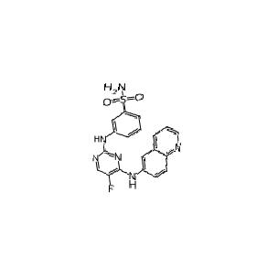 NS(=O)(=O)c1cccc(Nc2ncc(F)c(Nc3ccc4ncccc4c3)n2)c1